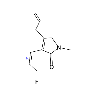 C=CCC1=C(/C=C\CF)C(=O)N(C)C1